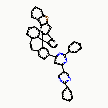 C1=Cc2ccc(-c3cc(-c4cnc(-c5ccccc5)nc4)nc(-c4ccccc4)n3)cc2C2(c3ccccc31)c1ccccc1-c1cc3sc4ccccc4c3cc12